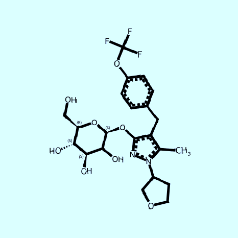 Cc1c(Cc2ccc(OC(F)(F)F)cc2)c(O[C@@H]2O[C@H](CO)[C@@H](O)[C@H](O)C2O)nn1C1CCOC1